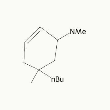 CCCCC1(C)CC=CC(NC)C1